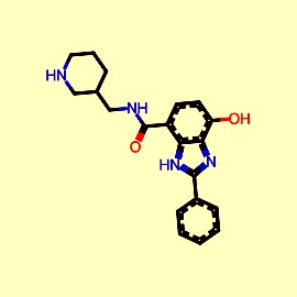 O=C(NCC1CCCNC1)c1ccc(O)c2nc(-c3ccccc3)[nH]c12